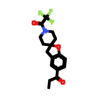 CCC(=O)c1ccc2c(c1)CC1(CCN(C(=O)C(F)(F)F)CC1)O2